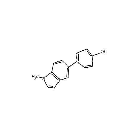 Cn1ccc2cc(-c3ccc(O)cc3)ccc21